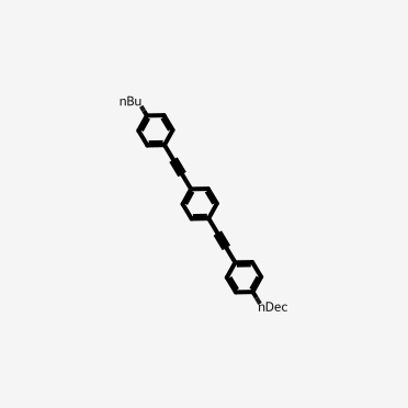 CCCCCCCCCCc1ccc(C#Cc2ccc(C#Cc3ccc(CCCC)cc3)cc2)cc1